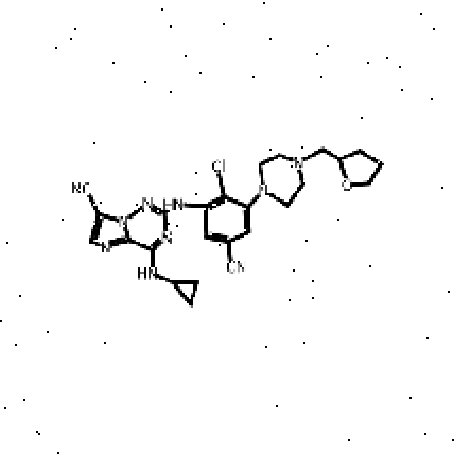 N#Cc1cc(Nc2nc(NC3CC3)c3ncc(C#N)n3n2)c(Cl)c(N2CCN(CC3CCCO3)CC2)c1